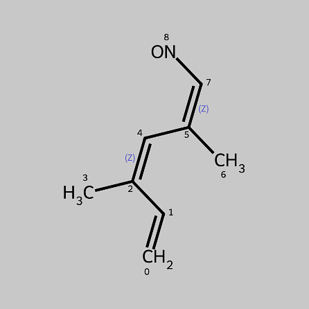 C=C/C(C)=C\C(C)=C/N=O